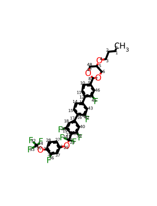 CCCCOC1COC(c2ccc(-c3ccc(-c4cc(F)c(C(F)(F)Oc5ccc(OC(F)(F)F)c(F)c5)c(F)c4)c(F)c3)c(F)c2)OC1